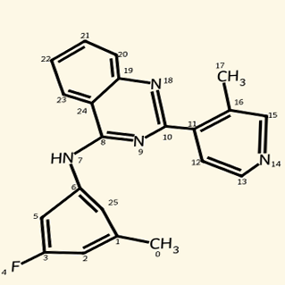 Cc1cc(F)cc(Nc2nc(-c3ccncc3C)nc3ccccc23)c1